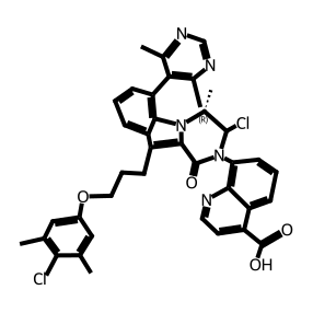 Cc1cc(OCCCc2c3n(c4c(-c5c(C)ncnc5C)cccc24)[C@H](C)C(Cl)N(c2cccc4c(C(=O)O)ccnc24)C3=O)cc(C)c1Cl